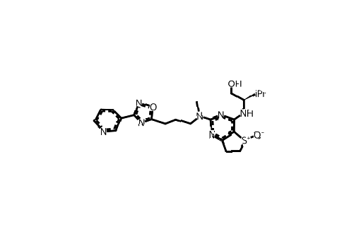 CC(C)[C@H](CO)Nc1nc(N(C)CCCc2nc(-c3cccnc3)no2)nc2c1[S+]([O-])CC2